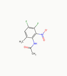 CC(=O)Nc1c(C)cc(F)c(F)c1[N+](=O)[O-]